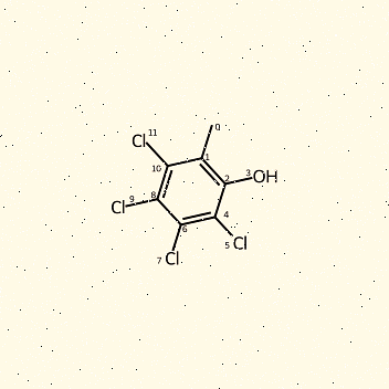 Cc1c(O)c(Cl)c(Cl)c(Cl)c1Cl